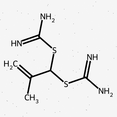 C=C(C)C(SC(=N)N)SC(=N)N